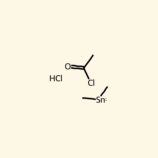 CC(=O)Cl.Cl.[CH3][Sn][CH3]